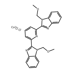 COCn1c(-c2cccc(-c3nc4ccccc4n3COC)n2)nc2ccccc21.[Cl-].[Cl-].[Co+2]